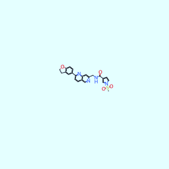 CS(=O)(=O)n1ccc(C(=O)NCc2cc3nc(-c4ccc5c(c4)CCO5)ccc3cn2)c1